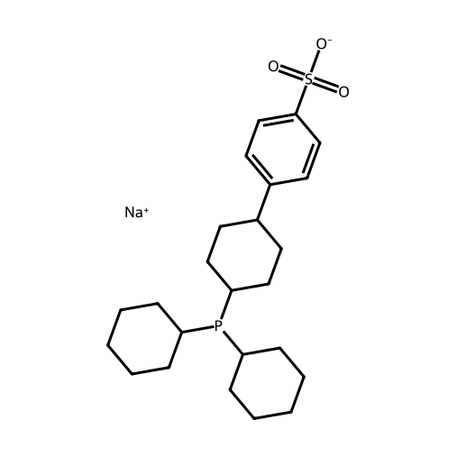 O=S(=O)([O-])c1ccc(C2CCC(P(C3CCCCC3)C3CCCCC3)CC2)cc1.[Na+]